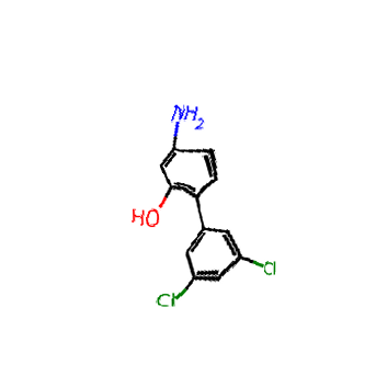 Nc1ccc(-c2cc(Cl)cc(Cl)c2)c(O)c1